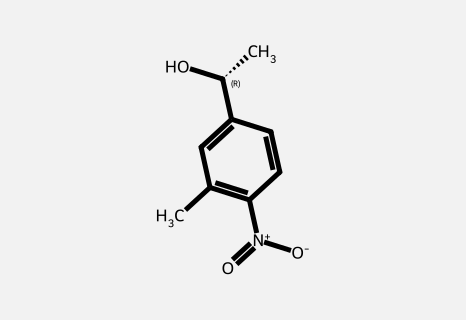 Cc1cc([C@@H](C)O)ccc1[N+](=O)[O-]